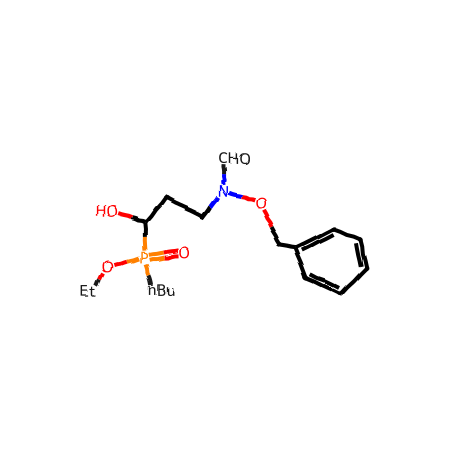 CCCCP(=O)(OCC)C(O)CCN(C=O)OCc1ccccc1